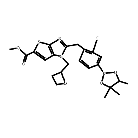 COC(=O)c1cc2c(nc(Cc3ccc(B4OC(C)C(C)(C)O4)cc3F)n2CC2CCO2)s1